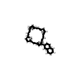 C1=Cc2cc3cc(-c4ccc5ccccc5c4)c(cc4nc(cc5ccc(cc1n2)[nH]5)C=C4)[nH]3